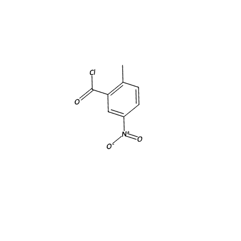 Cc1ccc([N+](=O)[O-])cc1C(=O)Cl